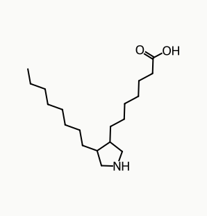 CCCCCCCCC1CNCC1CCCCCCC(=O)O